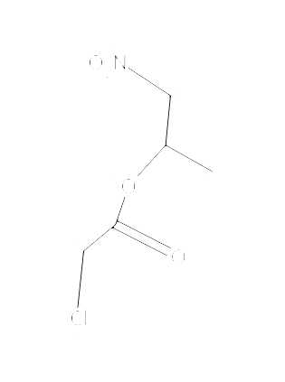 CC(C[N+](=O)[O-])OC(=O)CCl